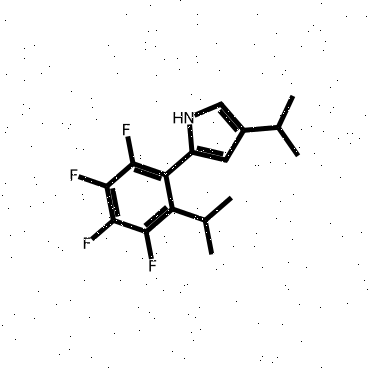 CC(C)c1c[nH]c(-c2c(F)c(F)c(F)c(F)c2C(C)C)c1